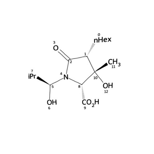 CCCCCC[C@H]1C(=O)N([C@@H](O)C(C)C)[C@@H](C(=O)O)[C@@]1(C)O